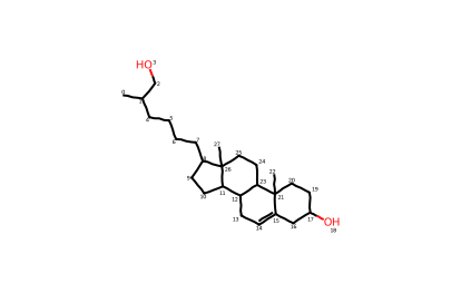 CC(CO)CCCCC1CCC2C3CC=C4CC(O)CCC4(C)C3CCC12C